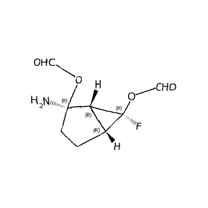 N[C@@]1(OC=O)CC[C@@H]2[C@H]1[C@@]2(F)OC=O